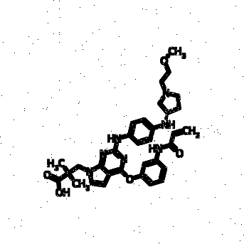 C=CC(=O)Nc1cccc(Oc2nc(Nc3ccc(N[C@H]4CCN(CCOC)C4)cc3)nc3c2ccn3CC(C)(C)C(=O)O)c1